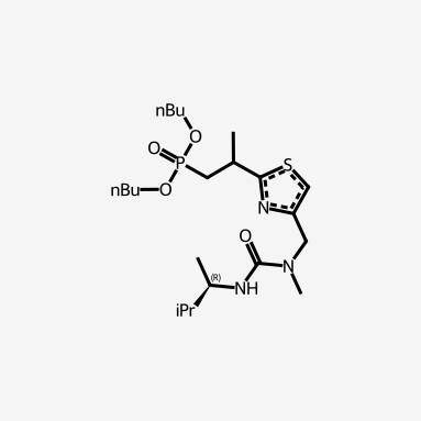 CCCCOP(=O)(CC(C)c1nc(CN(C)C(=O)N[C@H](C)C(C)C)cs1)OCCCC